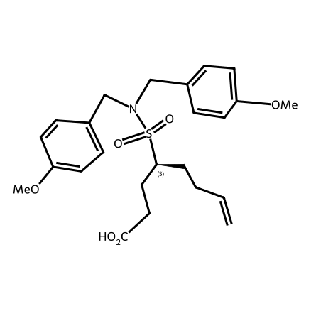 C=CCC[C@@H](CCC(=O)O)S(=O)(=O)N(Cc1ccc(OC)cc1)Cc1ccc(OC)cc1